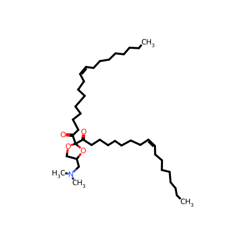 CCCCCCCC/C=C\CCCCCCCC(=O)C1(C(=O)CCCCCCC/C=C\CCCCCCCC)OCC(CN(C)C)O1